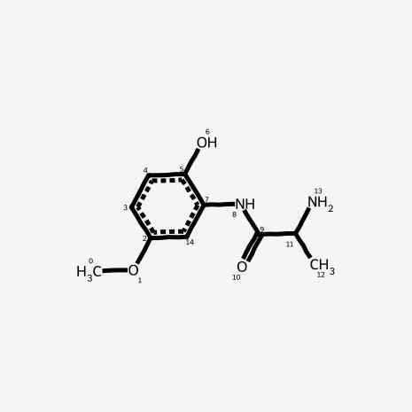 COc1ccc(O)c(NC(=O)C(C)N)c1